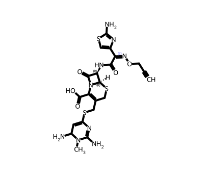 C#CCO/N=C(\C(=O)N[C@@H]1C(=O)N2C(C(=O)O)=C(CSC3=CC(N)N(C)C(N)=N3)CS[C@H]12)c1csc(N)n1